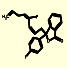 C=CC/C=C(F)\C=C/CC1(c2ccc(F)cc2)OC(=O)c2ccccc21